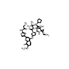 C=C[C@@H]1C[C@]1(NC(=O)[C@@H]1C[C@@H](Oc2cc(-c3csc(NC(=O)CC)n3)nc3c(F)c(OC)ccc23)CN1C(=O)[C@@H](NC(=O)OC1CCCC1)C(C)(C)C)C(=O)O